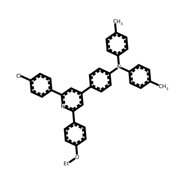 CCOc1ccc(-c2cc(-c3ccc(N(c4ccc(C)cc4)c4ccc(C)cc4)cc3)cc(-c3ccc(Cl)cc3)n2)cc1